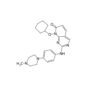 CN1CCN(c2ccc(Nc3ncc4ccc(=O)n(OC5CCCCC5)c4n3)cc2)CC1